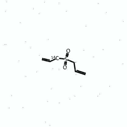 C=C[CH]S(=O)(=O)[14CH2]C=C